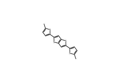 Cc1ccc(-c2cc3sc(-c4ccc(C)s4)cc3s2)s1